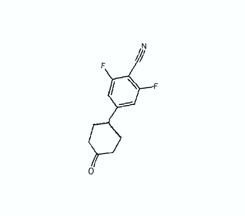 N#Cc1c(F)cc(C2CCC(=O)CC2)cc1F